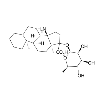 C[C@H]1O[C@@H](OC2(C(=O)O)CC[C@@]3(N)[C@@H]4CCC5CCCC[C@]5(C)[C@@H]4CC[C@]23C)[C@@H](O)[C@@H](O)[C@@H]1O